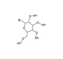 CCCOCC1OC(Br)C(OCCC)C(OCCC)C1OCCC